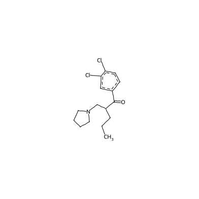 CCCC(CN1CCCC1)C(=O)c1ccc(Cl)c(Cl)c1